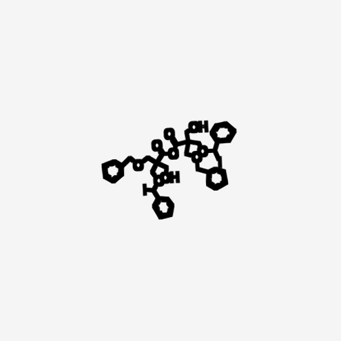 O=C(OC(=O)C(CO)(COCc1ccccc1)COC(I)c1ccccc1)C(CO)(COCc1ccccc1)COC(I)c1ccccc1